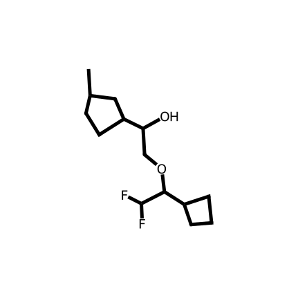 CC1CCC(C(O)COC(C(F)F)C2CCC2)C1